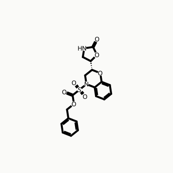 O=C1NCC([C@H]2CN(S(=O)(=O)C(=O)OCc3ccccc3)c3ccccc3O2)O1